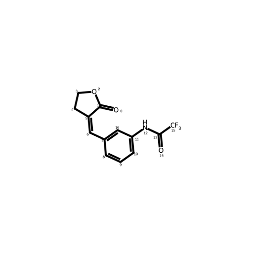 O=C1OCCC1=Cc1cccc(NC(=O)C(F)(F)F)c1